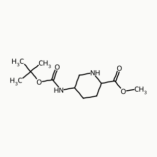 COC(=O)C1CCC(NC(=O)OC(C)(C)C)CN1